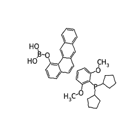 COc1cccc(OC)c1P(C1CCCC1)C1CCCC1.OB(O)Oc1cccc2ccc3cc4ccccc4cc3c12